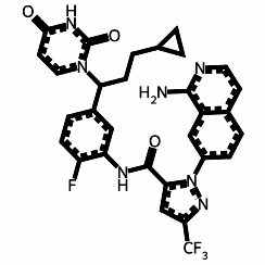 Nc1nccc2ccc(-n3nc(C(F)(F)F)cc3C(=O)Nc3cc(C(CCC4CC4)n4ccc(=O)[nH]c4=O)ccc3F)cc12